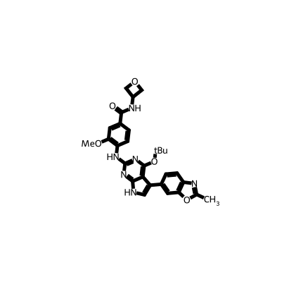 COc1cc(C(=O)NC2COC2)ccc1Nc1nc(OC(C)(C)C)c2c(-c3ccc4nc(C)oc4c3)c[nH]c2n1